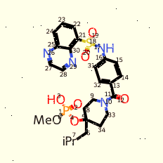 [CH2]OP(=O)(O)OC1(CC(C)C)CCN(C(=O)c2ccc(NS(=O)(=O)c3cccc4nccnc34)cc2)CC1